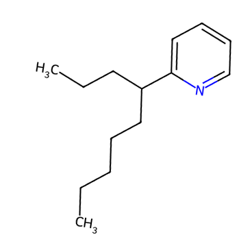 CCCCCC(CCC)c1ccccn1